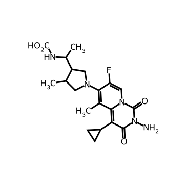 Cc1c(N2CC(C)C(C(C)NC(=O)O)C2)c(F)cn2c(=O)n(N)c(=O)c(C3CC3)c12